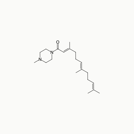 CC(C)=CCC/C(C)=C/CC/C(C)=C/C(=O)N1CCN(C)CC1